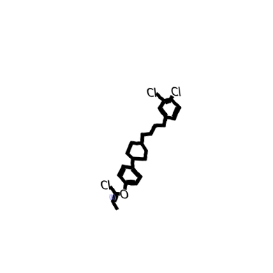 C/C=C(/Cl)Oc1ccc(C2CCC(CCCCc3ccc(Cl)c(Cl)c3)CC2)cc1